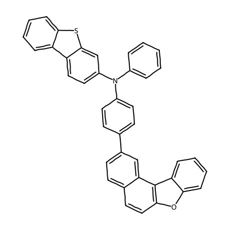 c1ccc(N(c2ccc(-c3ccc4ccc5oc6ccccc6c5c4c3)cc2)c2ccc3c(c2)sc2ccccc23)cc1